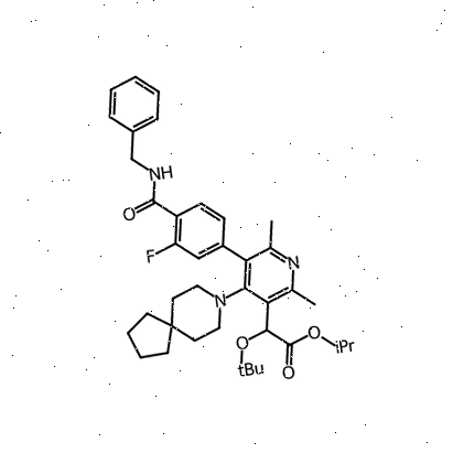 Cc1nc(C)c(C(OC(C)(C)C)C(=O)OC(C)C)c(N2CCC3(CCCC3)CC2)c1-c1ccc(C(=O)NCc2ccccc2)c(F)c1